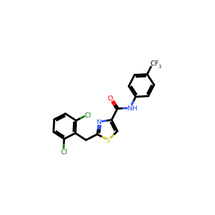 O=C(Nc1ccc(C(F)(F)F)cc1)c1csc(Cc2c(Cl)cccc2Cl)n1